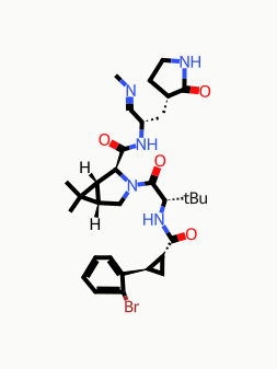 C/N=C/[C@H](C[C@@H]1CCNC1=O)NC(=O)[C@@H]1[C@@H]2[C@H](CN1C(=O)[C@@H](NC(=O)[C@@H]1C[C@H]1c1ccccc1Br)C(C)(C)C)C2(C)C